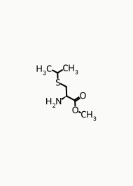 COC(=O)[C@@H](N)CSC(C)C